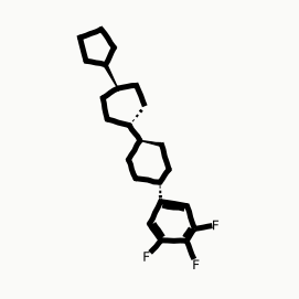 Fc1cc([C@H]2CC[C@H]([C@H]3CC[C@H](C4CCCC4)CC3)CC2)cc(F)c1F